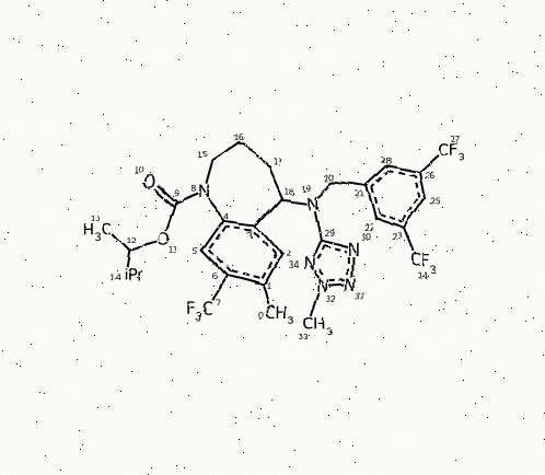 Cc1cc2c(cc1C(F)(F)F)N(C(=O)OC(C)C(C)C)CCCC2N(Cc1cc(C(F)(F)F)cc(C(F)(F)F)c1)c1nnn(C)n1